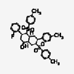 Cc1ccc([C@@H]2C[C@@H]3C(S(=O)(=O)c4ccc(C)cc4)[C@H](c4ccccc4F)CC(=O)[C@@H]3CC2S(=O)(=O)c2ccc(C)cc2)cc1